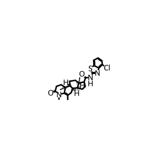 CC1=C2N(C)C(=O)CC[C@]2(C)[C@@H]2CC[C@]3(C)C(C(=O)Nc4nc5c(Cl)cccc5s4)CC[C@H]3[C@@H]2C1